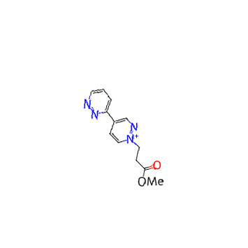 COC(=O)CC[n+]1ccc(-c2cccnn2)cn1